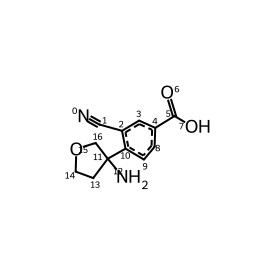 N#Cc1cc(C(=O)O)ccc1C1(N)CCOC1